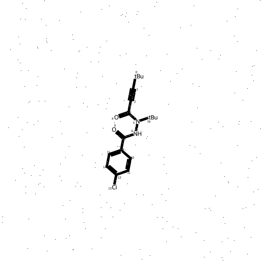 CC(C)(C)C#CC(=O)N(NC(=O)c1ccc(Cl)cc1)C(C)(C)C